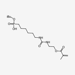 C=C(C)C(=O)OCCNC(=O)NCCCCCCP(=O)(O)OC(C)CC